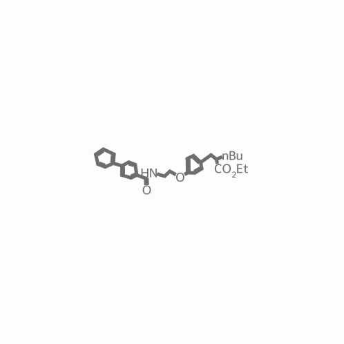 CCCCC(Cc1ccc(OCCNC(=O)c2ccc(-c3ccccc3)cc2)cc1)C(=O)OCC